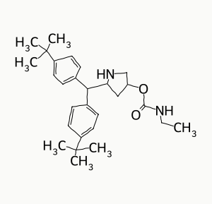 CCNC(=O)OC1CNC(C(c2ccc(C(C)(C)C)cc2)c2ccc(C(C)(C)C)cc2)C1